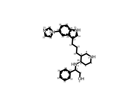 OCC(N[C@@H]1CCNCC1CCCc1c[nH]c2ccc(-n3ccnc3)cc12)c1ccccc1